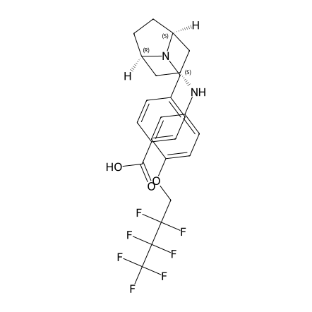 O=C(O)c1ccc(CN2[C@@H]3CC[C@H]2C[C@H](Nc2ccc(OCC(F)(F)C(F)(F)C(F)(F)F)cc2)C3)cc1